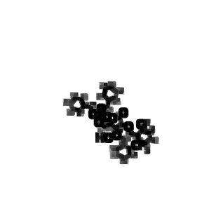 O=C1O[C@H]([C@H](CO)OP(=O)(OCc2ccccc2)OCc2ccccc2)C(OCc2ccccc2C(F)(F)F)=C1OCc1ccccc1C(F)(F)F